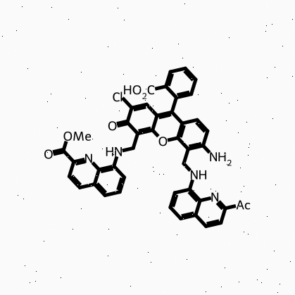 COC(=O)c1ccc2cccc(NCc3c4oc5c(CNc6cccc7ccc(C(C)=O)nc67)c(N)ccc5c(-c5ccccc5C(=O)O)c-4cc(Cl)c3=O)c2n1